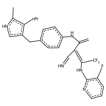 C=C(Nc1ccc(Cc2c[nH]c(C)c2CCC)cc1)/C(C=N)=C(/Nc1ncccc1F)C(F)(F)F